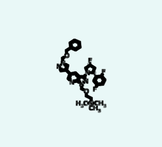 C[Si](C)(C)CCOCn1nc(N2C[C@@H](F)C[C@@H]2c2cc(F)ccc2F)c2cc(-c3cnn(COCc4ccccc4)c3)cnc21